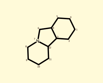 C1CCC2C(C1)CN1CCCCC21